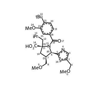 COCc1cnc([C@H]2[C@@H](COC)C[C@@](CC(C)C)(C(=O)O)N2C(=O)c2ccc(C(C)(C)C)c(OC)c2)s1